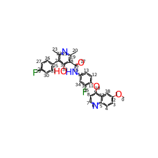 COc1ccc2nccc(Oc3ccc(NC(=O)c4c(C)nc(C)c(-c5ccc(F)cc5)c4O)cc3F)c2c1